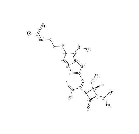 CSc1c2sc(C3=C(C(=O)[O-])N4C(=O)[C@H]([C@@H](C)O)[C@H]4[C@H]3C)c[n+]2cn1CCCNC(C)=N